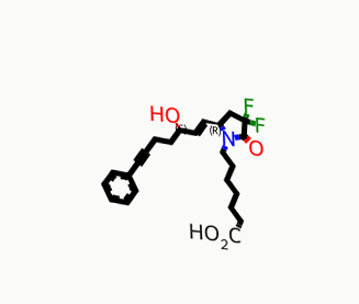 O=C(O)CCCCCCN1C(=O)C(F)(F)C[C@@H]1C=C[C@@H](O)CCC#Cc1ccccc1